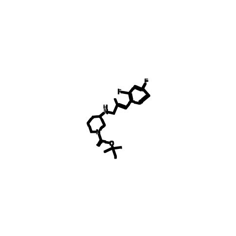 C=C(OC(C)(C)C)N1CCCC(NC/C(C)=C/c2ccc(F)cc2F)C1